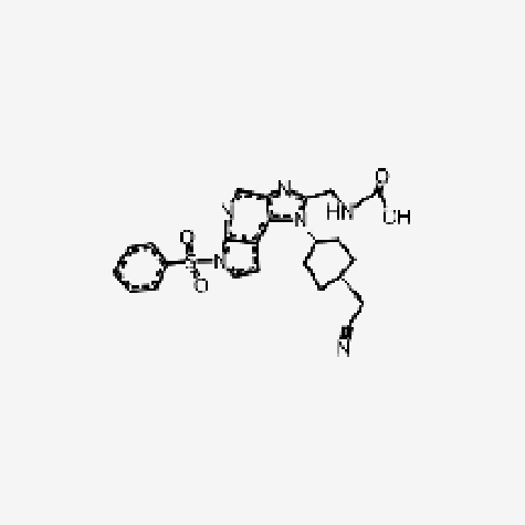 N#CC[C@H]1CC[C@H](n2c(CNC(=O)O)nc3cnc4c(ccn4S(=O)(=O)c4ccccc4)c32)CC1